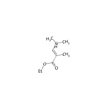 CCOC(=O)C(C)=C[SiH](C)C